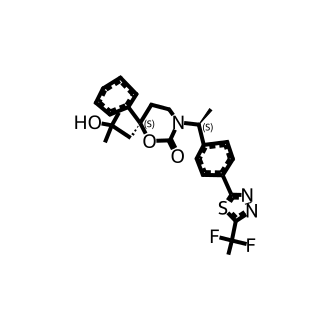 C[C@@H](c1ccc(-c2nnc(C(C)(F)F)s2)cc1)N1CC[C@](CC(C)(C)O)(c2ccccc2)OC1=O